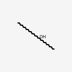 CCCCCCCCCCCCCCCC(O)CCCCCCCCCC